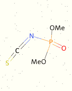 COP(=O)(N=C=S)OC